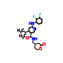 CC(C)c1cc(Nc2cccc(F)c2F)ncc1C(=O)NCC1CCOC(=O)C1